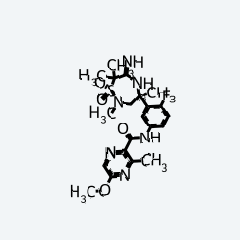 COc1cnc(C(=O)Nc2ccc(F)c([C@]3(C)CN(C)S(=O)(=O)C(C)(C)C(=N)N3)c2)c(C)n1